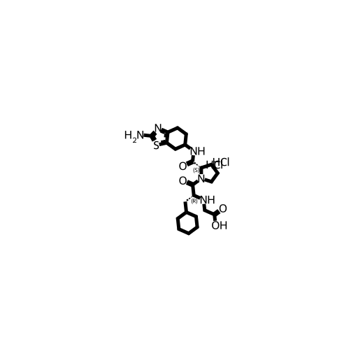 Cl.Cl.Nc1nc2c(s1)CC(NC(=O)[C@@H]1CCCN1C(=O)[C@@H](CC1CCCCC1)NCC(=O)O)CC2